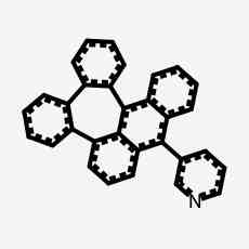 c1cncc(-c2c3ccccc3c3c4c(cccc24)-c2ccccc2-c2ccccc2-3)c1